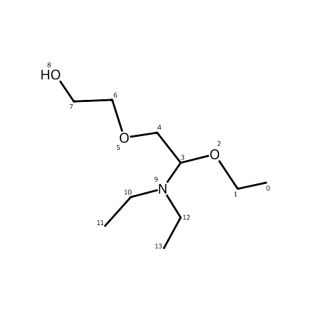 CCOC(COCCO)N(CC)CC